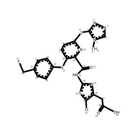 Cn1cnnc1Sc1ccc(Sc2ccc(CF)cc2)c(C(=O)Nc2nc(CC(=O)O)c(Cl)s2)n1